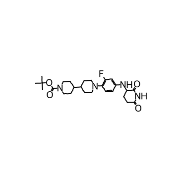 CC(C)(C)OC(=O)N1CCC(C2CCN(c3ccc(NC4CCC(=O)NC4=O)cc3F)CC2)CC1